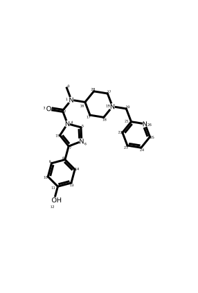 CN(C(=O)n1cnc(-c2ccc(O)cc2)c1)C1CCN(Cc2ccccn2)CC1